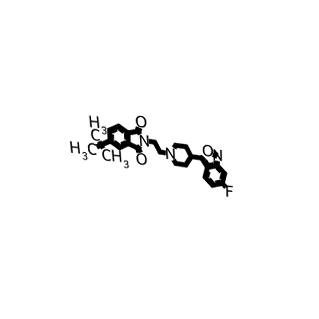 CC(C)(C)c1ccc2c(c1)C(=O)N(CCN1CCC(c3onc4cc(F)ccc34)CC1)C2=O